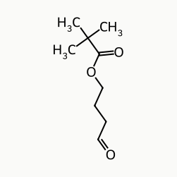 CC(C)(C)C(=O)OCCCC=O